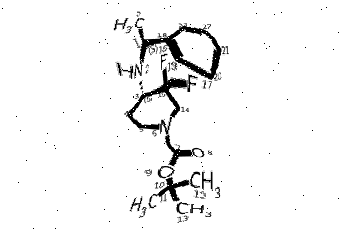 C[C@H](N[C@H]1CCN(C(=O)OC(C)(C)C)CC1(F)F)c1ccccc1